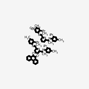 CC(=Nc1ccc(C)cc1C(C)C)c1cccc(C(C)=Nc2ccc(C)cc2C(C)C)n1.CC(=Nc1ccc(C)cc1C(C)C)c1cccc(C(C)=Nc2ccc(C)cc2C(C)C)n1.[Co+].[Co+].[O-]c1c([O-])c2ccccc2c2ccccc12